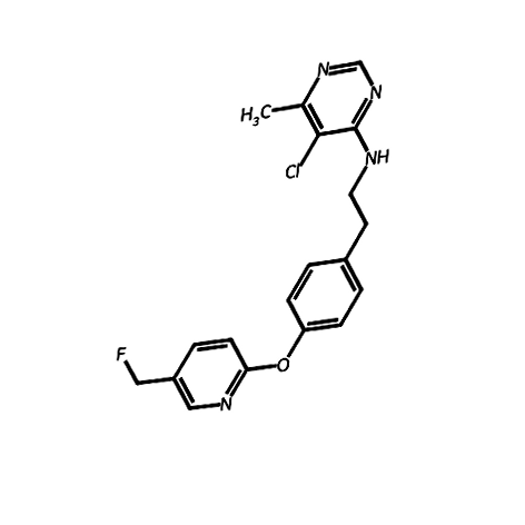 Cc1ncnc(NCCc2ccc(Oc3ccc(CF)cn3)cc2)c1Cl